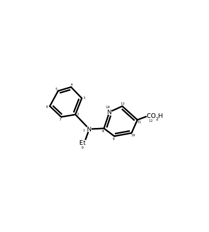 CCN(c1ccccc1)c1ccc(C(=O)O)cn1